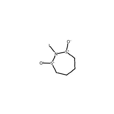 [O-][S+]1CCCC[S+]([O-])N1I